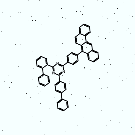 c1ccc(-c2ccc(-c3nc(-c4ccc(-c5c6ccccc6cc6c5ccc5ccccc56)cc4)nc(-c4ccccc4-c4ccccc4)n3)cc2)cc1